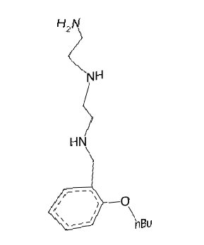 CCCCOc1ccccc1CNCCNCCN